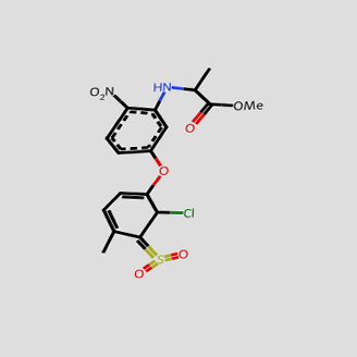 COC(=O)C(C)Nc1cc(OC2=CC=C(C)C(=S(=O)=O)C2Cl)ccc1[N+](=O)[O-]